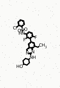 CCc1cc(-c2c(F)ccc(NS(=O)(=O)c3ccccc3Cl)c2F)cc2cnc(NC3CCC(O)CC3)nc12